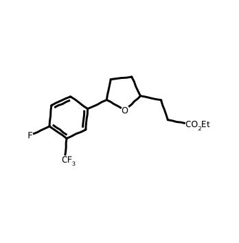 CCOC(=O)CCC1CCC(c2ccc(F)c(C(F)(F)F)c2)O1